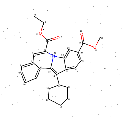 CCOC(=O)c1cc2ccccc2c2c(C3CCCCC3)c3ccc(C(=O)OC)cc3n12